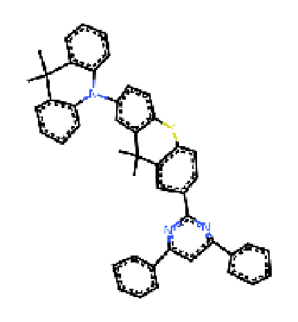 CC1(C)c2cc(-c3nc(-c4ccccc4)cc(-c4ccccc4)n3)ccc2Sc2ccc(N3c4ccccc4C(C)(C)c4ccccc43)cc21